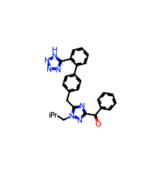 CC(C)Cn1nc(C(=O)c2ccccc2)nc1Cc1ccc(-c2ccccc2-c2nnn[nH]2)cc1